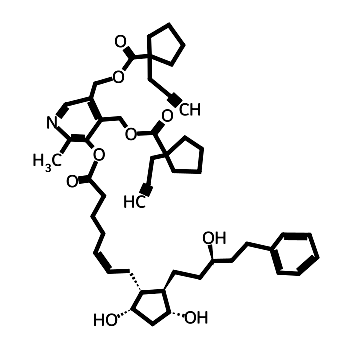 C#CCC1(C(=O)OCc2cnc(C)c(OC(=O)CCC/C=C\C[C@@H]3[C@@H](CC[C@@H](O)CCc4ccccc4)[C@H](O)C[C@@H]3O)c2COC(=O)C2(CC#C)CCCC2)CCCC1